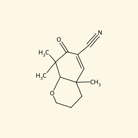 CC12C=C(C#N)C(=O)C(C)(C)C1OCCC2